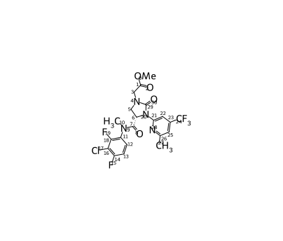 COC(=O)CN1C[C@@H](C(=O)N(C)c2ccc(F)c(Cl)c2F)N(c2cc(C(F)(F)F)cc(C)n2)C1=O